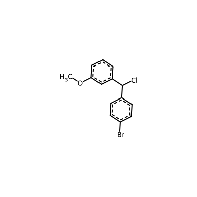 COc1cccc(C(Cl)c2ccc(Br)cc2)c1